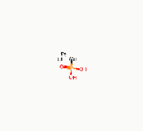 O=[P](O)(O)[Mn].[Fe].[LiH]